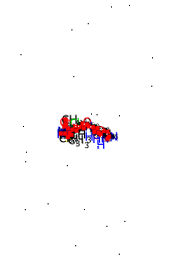 COC(=O)C[C@@H]1N=C(c2ccc(-c3ccc(C(=O)NCc4ccc(S(=O)(=O)Nc5cccc6c(C#N)c[nH]c56)cc4)cc3Cl)cc2)c2c(sc(C)c2C)-n2c(C)nnc21